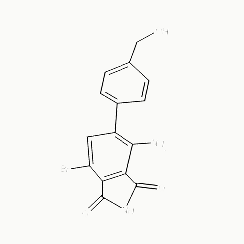 Nc1c(-c2ccc(CO)cc2)cc(Br)c2c1C(=O)NC2=O